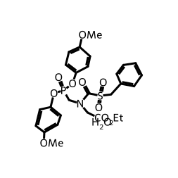 CCOC(=O)CN(CP(=O)(Oc1ccc(OC)cc1)Oc1ccc(OC)cc1)C(=O)S(=O)(=O)Cc1ccccc1.O